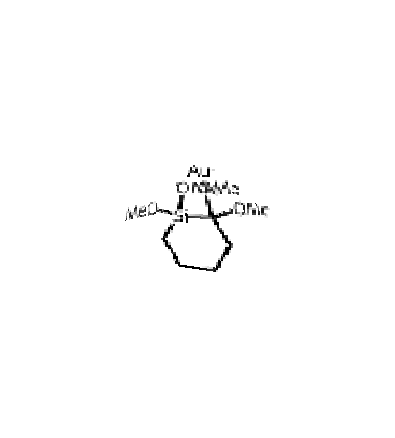 COC1(OC)CCCC[Si]1(OC)OC.[Au]